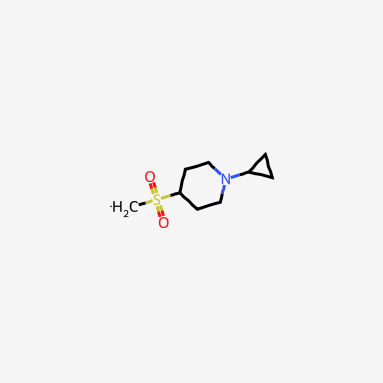 [CH2]S(=O)(=O)C1CCN(C2CC2)CC1